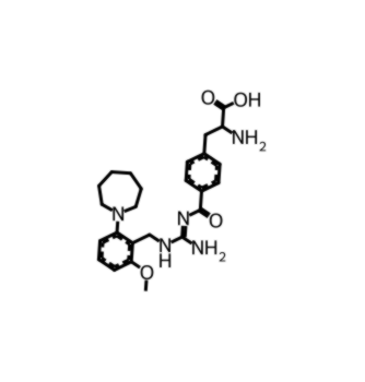 COc1cccc(N2CCCCCC2)c1CNC(N)=NC(=O)c1ccc(CC(N)C(=O)O)cc1